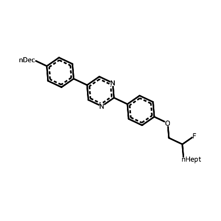 CCCCCCCCCCc1ccc(-c2cnc(-c3ccc(OCC(F)CCCCCCC)cc3)nc2)cc1